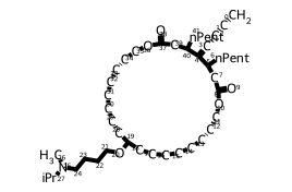 C=C=C=C=C1C(CCCCC)CC(=O)OCCCCCCCCC(OCCCCN(C)C(C)C)CCCCCCCCOC(=O)CC1CCCCC